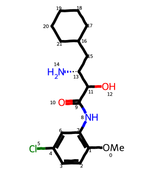 COc1ccc(Cl)cc1NC(=O)C(O)[C@H](N)CC1CCCCC1